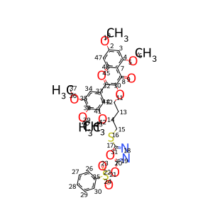 COc1cc(OC)c2c(=O)c(OCCCCSc3nnc(OS(=O)(=O)c4ccccc4)o3)c(-c3cc(OC)c(OC)c(OC)c3)oc2c1